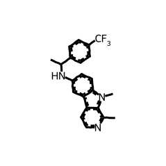 Cc1nccc2c3cc(NC(C)c4ccc(C(F)(F)F)cc4)ccc3n(C)c12